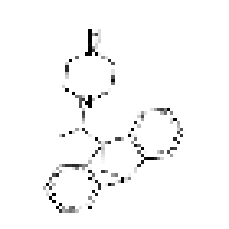 CC(N1CCNCC1)C12CC(c3ccccc31)c1ccccc12